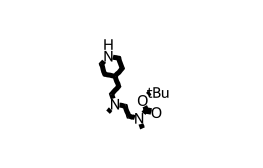 CN(CCC1CCNCC1)CCN(C)C(=O)OC(C)(C)C